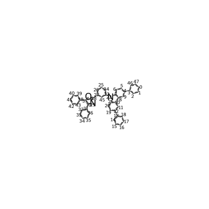 c1ccc(-c2ccc3c(c2)c2cc(-c4ccccc4)ccc2n3-c2cccc(-c3nc(-c4ccccc4)c(-c4ccccc4)o3)c2)cc1